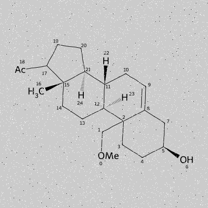 COCC12CC[C@H](O)CC1=CC[C@@H]1[C@@H]2CC[C@]2(C)C(C(C)=O)CC[C@@H]12